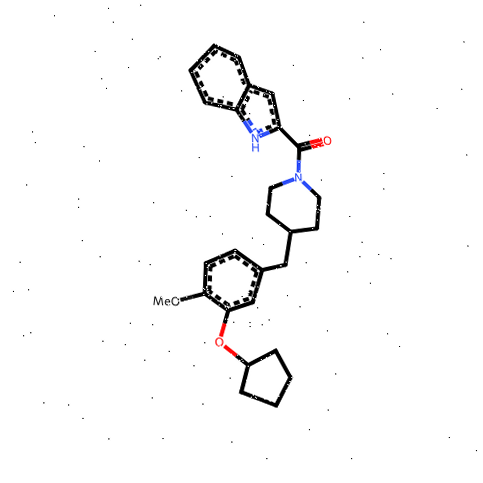 COc1ccc(CC2CCN(C(=O)c3cc4ccccc4[nH]3)CC2)cc1OC1CCCC1